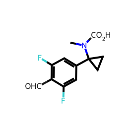 CN(C(=O)O)C1(c2cc(F)c(C=O)c(F)c2)CC1